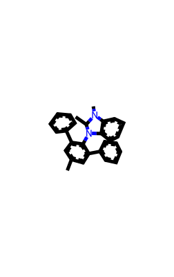 Cc1cc(-c2ccccc2)c(N2c3ccccc3N(C)C2C)c(-c2ccccc2)c1